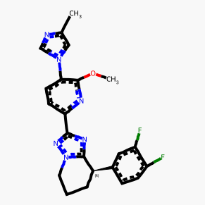 COc1nc(-c2nc3n(n2)CCC[C@@H]3c2ccc(F)c(F)c2)ccc1-n1cnc(C)c1